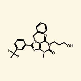 Cn1c(=O)n(CCCO)c(=O)c2c1nc(-c1cccc(C(C)(F)F)c1)n2Cc1ccccc1